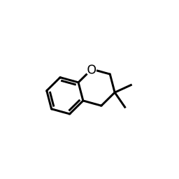 CC1(C)COc2ccccc2C1